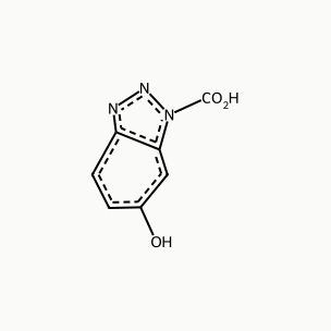 O=C(O)n1nnc2ccc(O)cc21